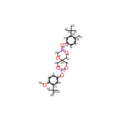 COc1ccc(OP2OCC3(COP(Oc4ccc(C)c(C(C)(C)C)c4)CO3)CO2)cc1C(C)(C)C